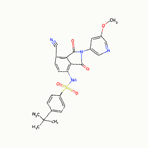 COc1cncc(N2C(=O)c3c(C#N)ccc(NS(=O)(=O)c4ccc(C(C)(C)C)cc4)c3C2=O)c1